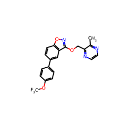 Cc1nccnc1COc1noc2ccc(-c3ccc(OC(F)(F)F)cc3)cc12